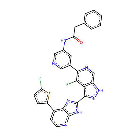 O=C(Cc1ccccc1)Nc1cncc(-c2ncc3[nH]nc(-c4nc5c(-c6ccc(F)s6)ccnc5[nH]4)c3c2F)c1